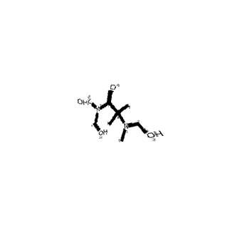 CN(CO)C(C)(C)C(=O)N(C=O)CO